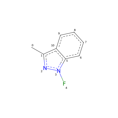 Cc1nn(F)c2ccccc12